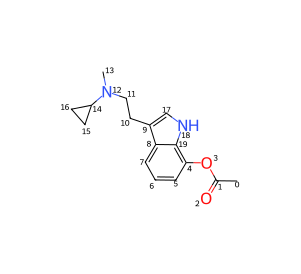 CC(=O)Oc1cccc2c(CCN(C)C3CC3)c[nH]c12